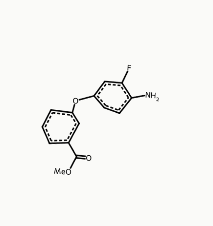 COC(=O)c1cccc(Oc2ccc(N)c(F)c2)c1